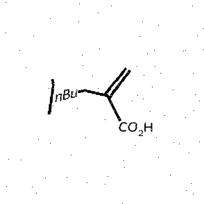 C=C(CCCC)C(=O)O.CC